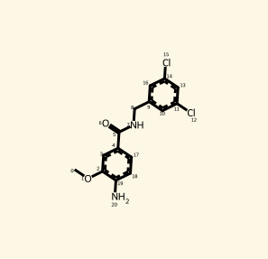 COc1cc(C(=O)NCc2cc(Cl)cc(Cl)c2)ccc1N